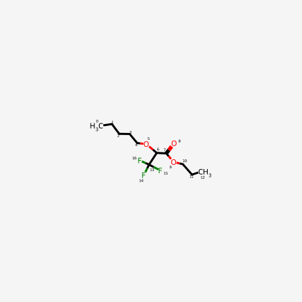 CCCCCOC(C(=O)OCCC)C(F)(F)F